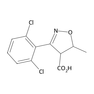 CC1ON=C(c2c(Cl)cccc2Cl)C1C(=O)O